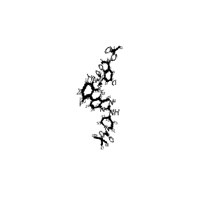 CC(=O)O[C@@H]1COc2c1cc(Cl)cc2S(=O)(=O)Nc1ccc(F)c(-c2ccc3nc(NC4CCN(C(=O)OC(C)(C)C)CC4)ncc3c2F)c1F